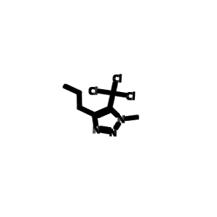 CCCc1nnn(C)c1C(Cl)(Cl)Cl